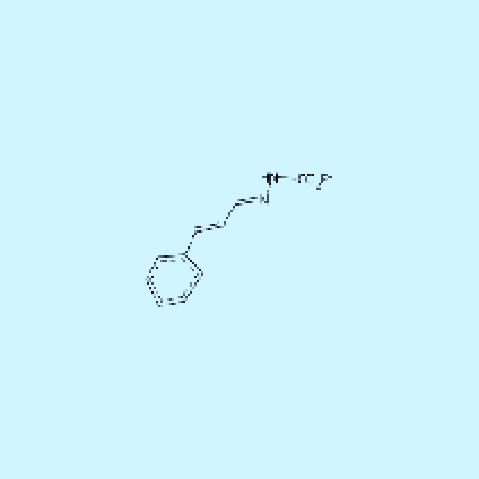 CCOC(=O)N/N=C/C=C/c1ccccc1